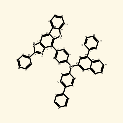 c1ccc(-c2ccc(N(c3ccc(-c4c5nc(-c6ccccc6)sc5cc5c4oc4ccccc45)cc3)c3cc(-c4ccccc4)c4ccccc4c3)cc2)cc1